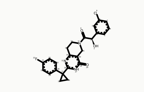 O=C([C@H](O)c1cccc(Cl)c1)N1CCc2nc(C3(c4ccc(F)cc4)CC3)[nH]c(=O)c2C1